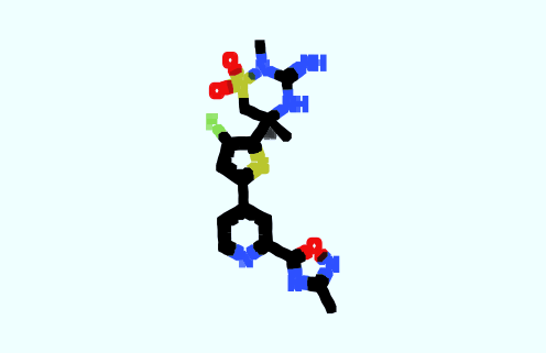 Cc1noc(-c2cc(-c3cc(F)c([C@]4(C)CS(=O)(=O)N(C)C(=N)N4)s3)ccn2)n1